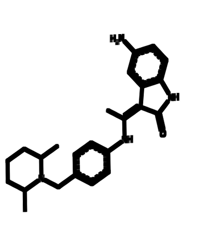 C/C(Nc1ccc(CN2C(C)CCCC2C)cc1)=C1/C(=O)Nc2ccc(N)cc21